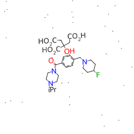 CC(C)N1CCN(C(=O)c2ccc(CN3CCC(F)CC3)cc2)CC1.O=C(O)CC(O)(CC(=O)O)C(=O)O